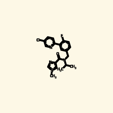 CC(C)N(Cc1ccc(F)c(-c2ccc(Cl)cn2)c1)C(=O)c1cn(C)cn1